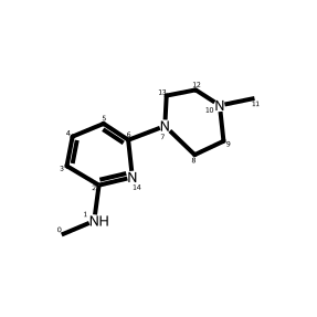 CNc1cccc(N2CCN(C)CC2)n1